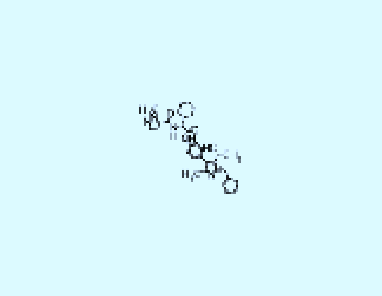 Cc1nn(Cc2ccccc2)c(C(C)O)c1-c1ccc(NC(=O)C(NC(=O)c2ccnn2C)C2CCCCC2)cc1